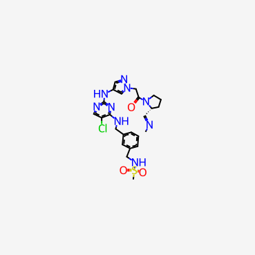 C/N=C/[C@H]1CCCN1C(=O)Cn1cc(Nc2ncc(Cl)c(NCc3cccc(CNS(C)(=O)=O)c3)n2)cn1